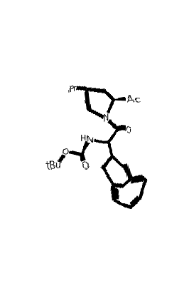 CC(=O)[C@@H]1CC(C(C)C)CN1C(=O)C(NC(=O)OC(C)(C)C)C1Cc2ccccc2C1